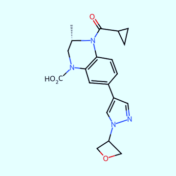 C[C@H]1CN(C(=O)O)c2cc(-c3cnn(C4COC4)c3)ccc2N1C(=O)C1CC1